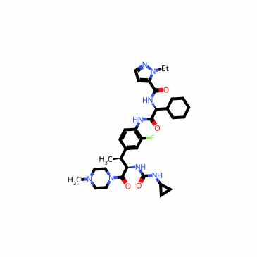 CCn1nccc1C(=O)N[C@H](C(=O)Nc1ccc([C@H](C)[C@@H](NC(=O)NC2CC2)C(=O)N2CCN(C)CC2)cc1F)C1CCCCC1